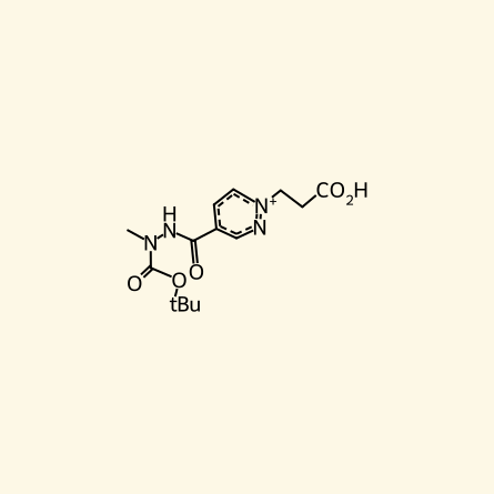 CN(NC(=O)c1cc[n+](CCC(=O)O)nc1)C(=O)OC(C)(C)C